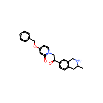 CC1Cc2ccc(C(=O)Cn3ccc(OCc4ccccc4)cc3=O)cc2CN1